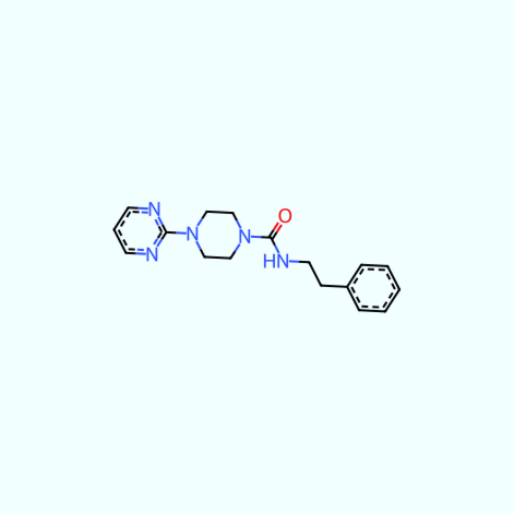 O=C(NCCc1ccccc1)N1CCN(c2ncccn2)CC1